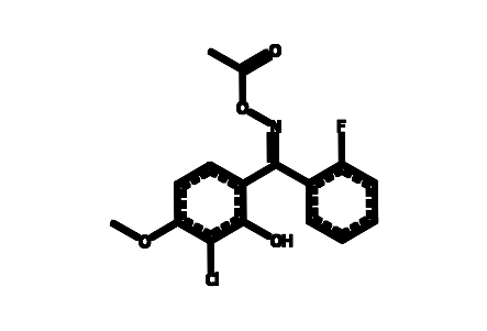 COc1ccc(/C(=N\OC(C)=O)c2ccccc2F)c(O)c1Cl